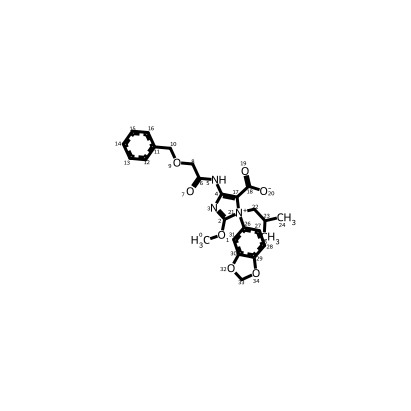 COC1=NC(NC(=O)COCc2ccccc2)=C(C(=O)[O-])[N+]1(CC(C)C)c1ccc2c(c1)OCO2